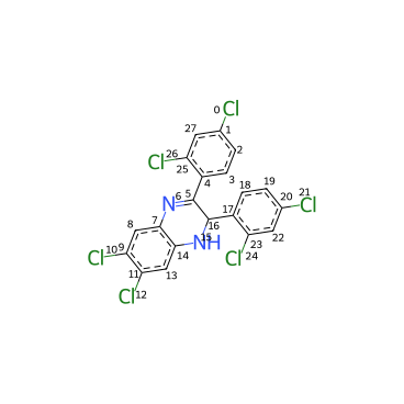 Clc1ccc(C2=Nc3cc(Cl)c(Cl)cc3NC2c2ccc(Cl)cc2Cl)c(Cl)c1